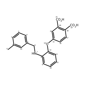 Cc1cccc(CNc2ccccc2Oc2ccc(C(=O)O)c(C(=O)O)c2)c1